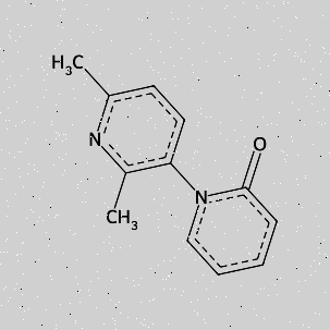 Cc1ccc(-n2ccccc2=O)c(C)n1